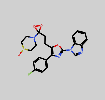 [O-][S+]1CCN(C2(CCc3oc(-n4cnc5ccccc54)nc3-c3ccc(F)cc3)OO2)CC1